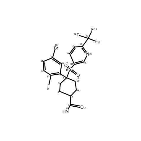 [NH]C(=O)C1CCC(c2cc(Br)ccc2F)(S(=O)(=O)c2ccc(C(F)(F)F)nc2)CC1